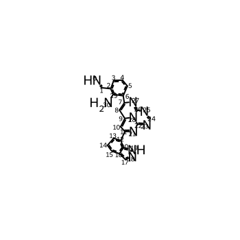 N=Cc1cccc(C2=CC3=CC(c4cccc5cn[nH]c45)=NC4=NC=NC(=N2)N34)c1N